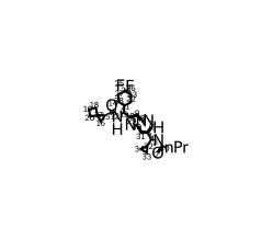 CCCC(=O)N[C@@H](c1cnn2cc([C@@H](NC(=O)[C@H]3CC34CCC4)C3CCC(F)(F)CC3)nc2c1)C1CC1